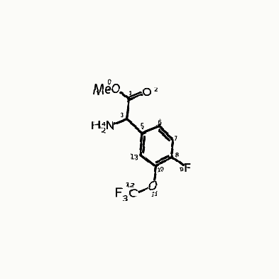 COC(=O)C(N)c1ccc(F)c(OC(F)(F)F)c1